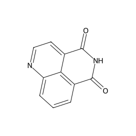 O=C1NC(=O)c2ccnc3cccc1c23